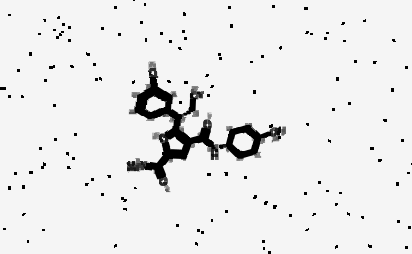 CNC(=O)c1cc(C(=O)N[C@H]2CC[C@H](O)CC2)c([C@@H](CC#N)c2cccc(Cl)c2)o1